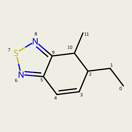 CCC1C=Cc2nsnc2C1C